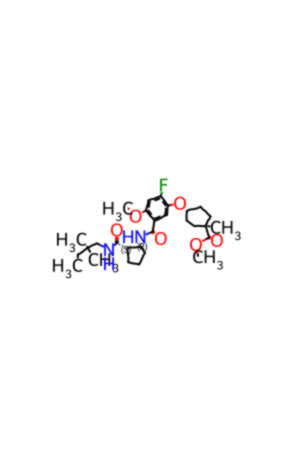 CCC(C)(C)CNC(=O)[C@H]1CCC[C@H]1NC(=O)c1cc(O[C@H]2CC[C@@](C)(C(=O)OC)CC2)c(F)cc1OC